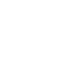 COC(=O)C12CC(=O)OC1c1cc(Cl)ccc1C2